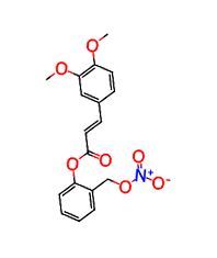 COc1ccc(C=CC(=O)Oc2ccccc2CO[N+](=O)[O-])cc1OC